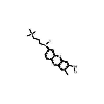 CCNc1cc2oc3c/c(=[N+](\CC)CCC[N+](C)(C)C)ccc-3nc2cc1C